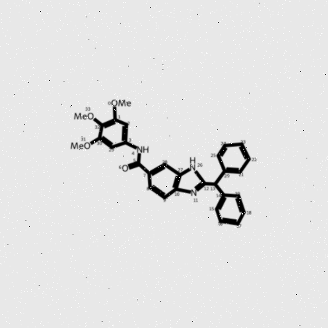 COc1cc(NC(=O)c2ccc3nc(C(c4ccccc4)c4ccccc4)[nH]c3c2)cc(OC)c1OC